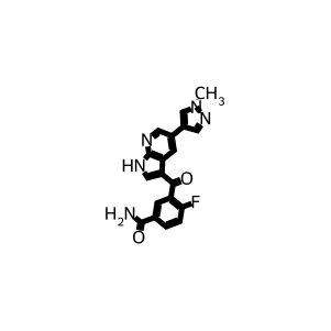 Cn1cc(-c2cnc3[nH]cc(C(=O)c4cc(C(N)=O)ccc4F)c3c2)cn1